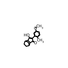 COc1ccc(C)c(C2=C(O)C3C4CCC(CC4)C3C2=O)c1